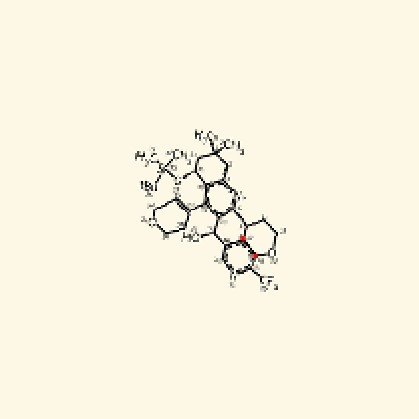 CC1(C)Cc2nc(C3CCOCC3)c([C@H](O)c3ccc(C(F)(F)F)nc3)c(C3=CCOCC3)c2[C@@H](O[Si](C)(C)C(C)(C)C)C1